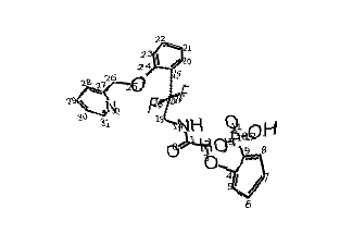 O=C(COc1ccccc1P(=O)(O)O)NCC(F)(F)c1ccccc1OCc1ccccn1